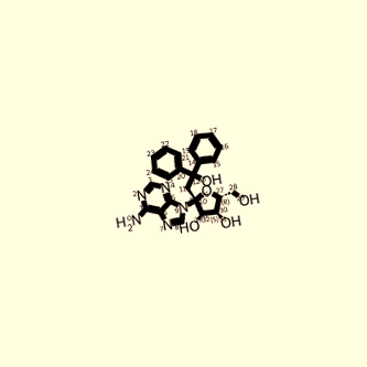 Nc1ncnc2c1ncn2[C@]1(CC(O)(c2ccccc2)c2ccccc2)O[C@H](CO)[C@@H](O)[C@H]1O